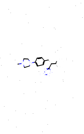 CCC[C@H](C(=O)O)[C@H](Cc1ccc(N2CCN(C)CC2)cc1)c1nn[nH]n1